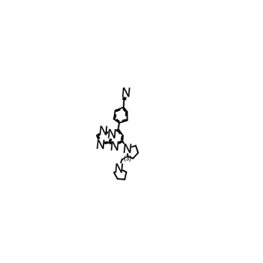 N#Cc1ccc(-c2cc(N3CCC[C@H]3CN3CCCC3)nc3ncnn23)cc1